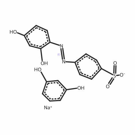 O=S(=O)([O-])c1ccc(/N=N/c2ccc(O)cc2O)cc1.Oc1cccc(O)c1.[Na+]